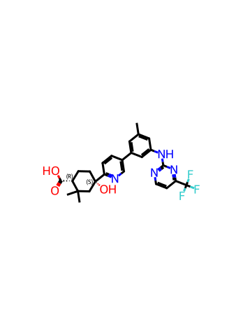 Cc1cc(Nc2nccc(C(F)(F)F)n2)cc(-c2ccc([C@]3(O)CC[C@@H](C(=O)O)C(C)(C)C3)nc2)c1